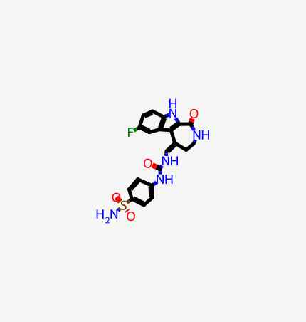 NS(=O)(=O)c1ccc(NC(=O)NC=C2CCNC(=O)c3[nH]c4ccc(F)cc4c32)cc1